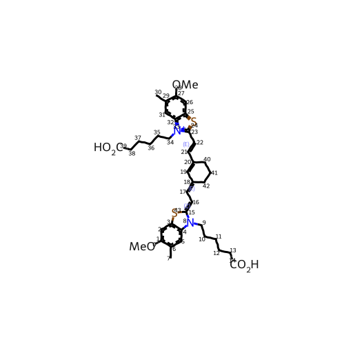 COc1cc2c(cc1C)N(CCCCCC(=O)O)/C(=C/C=C1C=C(/C=C/c3sc4cc(OC)c(C)cc4[n+]3CCCCCC(=O)O)CCC/1)S2